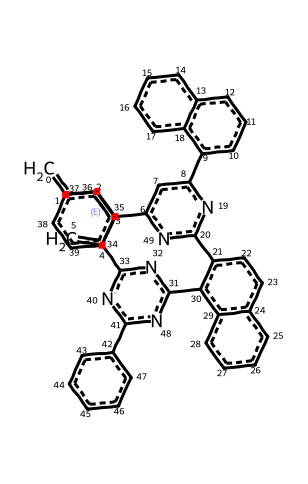 C=C/C=C(\C=C)c1cc(-c2cccc3ccccc23)nc(-c2ccc3ccccc3c2-c2nc(-c3ccccc3)nc(-c3ccccc3)n2)n1